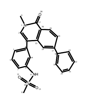 Cn1cc(-c2cccc(NS(C)(=O)=O)c2)c2cc(-c3ccccc3)ccc2c1=O